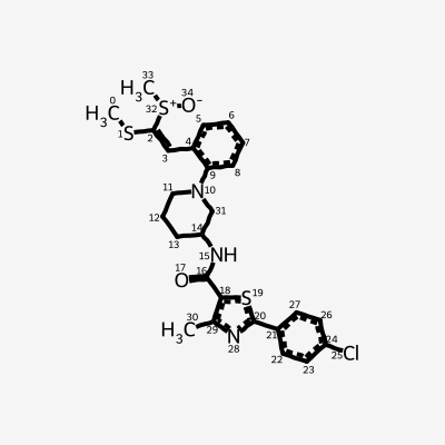 CSC(=Cc1ccccc1N1CCCC(NC(=O)c2sc(-c3ccc(Cl)cc3)nc2C)C1)[S+](C)[O-]